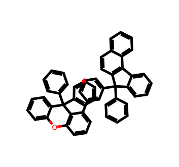 c1ccc(C2(c3cccc(-c4cccc5c4C(c4ccccc4)(c4ccccc4)c4ccccc4O5)c3)c3ccccc3-c3c2ccc2ccccc32)cc1